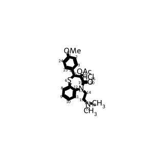 COc1ccc(C2Sc3ccccc3N(CCN(C)C)C(=O)C2OC(C)=O)cc1.Cl